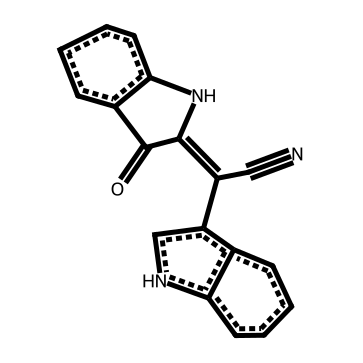 N#CC(=C1Nc2ccccc2C1=O)c1c[nH]c2ccccc12